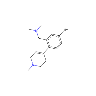 CC(C)c1ccc(C2=CCN(C)CC2)c(CN(C)C)c1